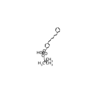 C[N+](C)(C)CCOP(=O)(O)OCc1ccc(/C=C/C=C/C=C/c2ccccc2)cc1